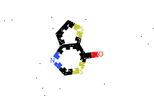 O=c1scnc2ccsc12